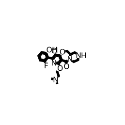 CN(C)CCOc1nc(-c2c(O)cccc2F)c(Cl)c2c1C(=O)N1CCNCC1CO2